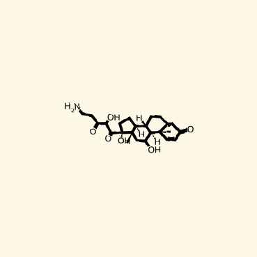 C[C@]12C=CC(=O)C=C1CC[C@@H]1[C@@H]2C(O)C[C@@]2(C)[C@H]1CC[C@]2(O)C(=O)C(O)C(=O)CCN